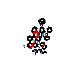 C=C/C=C\C(=C(C(C)/C=C\CC)N1c2ccccc2B2c3cc4c(cc3N(c3c(-c5ccccc5)cccc3-c3ccccc3)c3cc(C(C)(C)C)cc1c32)N(c1ccccc1)c1cc(N2C3CC5CC(C3)CC2C5)cc2c1B4c1ccccc1N2c1ccccc1)c1ccccc1